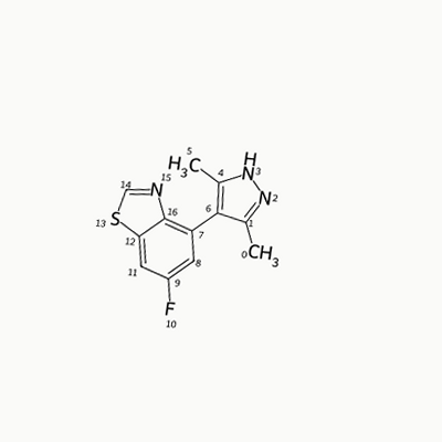 Cc1n[nH]c(C)c1-c1cc(F)cc2scnc12